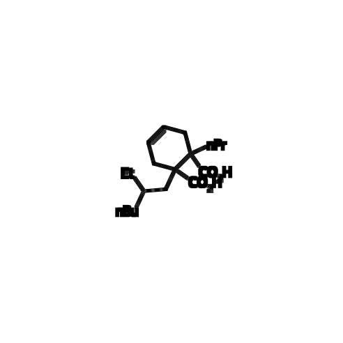 CCCCC(CC)CC1(C(=O)O)CC=CCC1(CCC)C(=O)O